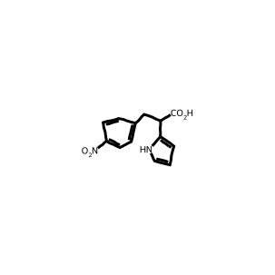 O=C(O)C(Cc1ccc([N+](=O)[O-])cc1)c1ccc[nH]1